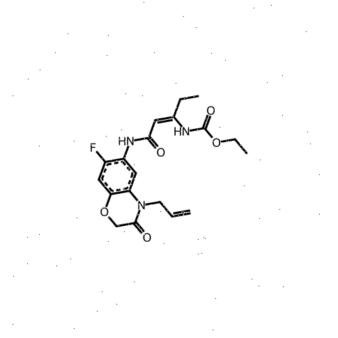 C=CCN1C(=O)COc2cc(F)c(NC(=O)/C=C(/CC)NC(=O)OCC)cc21